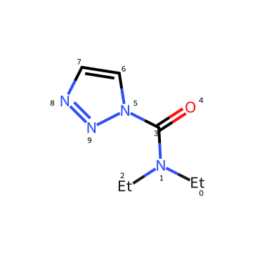 CCN(CC)C(=O)n1ccnn1